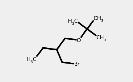 CCC(CBr)COC(C)(C)C